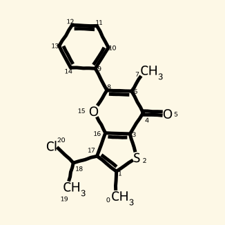 Cc1sc2c(=O)c(C)c(-c3ccccc3)oc2c1C(C)Cl